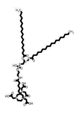 CCCCCCCCCCCCCCCCCC(=O)OC[C@H](COP(=O)(O)OCCNC(=O)CCCCC1(N(CC(=O)O)CC(=O)O)CN(CC(=O)O)CCN(CC(=O)O)C1)OC(=O)CCCCCCCCCCCCCCCCC